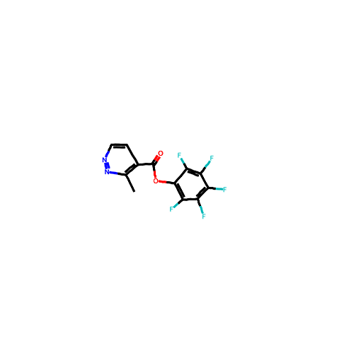 Cc1nnccc1C(=O)Oc1c(F)c(F)c(F)c(F)c1F